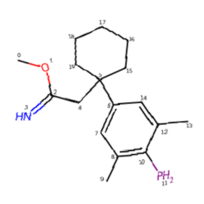 COC(=N)CC1(c2cc(C)c(P)c(C)c2)CCCCC1